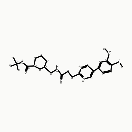 COc1ccc(-c2cnc(CCC(=O)NCC3CCCN(C(=O)OC(C)(C)C)C3)nc2)cc1OC